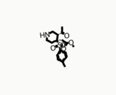 COC(=O)C[C@]1(S(=O)(=O)c2ccc(C)cc2)CCNC[C@@H]1C(C)=O